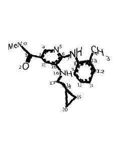 CNC(=O)c1cnc(Nc2ccccc2C)c(NCC2CC2)c1